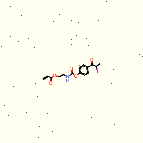 C=CC(=O)OCCNC(=O)Oc1ccc(C(=O)C(C)I)cc1